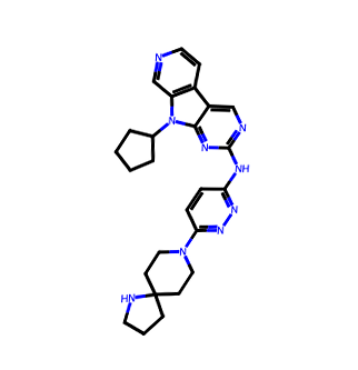 c1cc2c3cnc(Nc4ccc(N5CCC6(CCCN6)CC5)nn4)nc3n(C3CCCC3)c2cn1